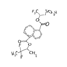 CC(OC(=O)c1cccc2c(C(=O)OC(CS(=O)(=O)O)C(F)(F)F)cccc12)C(C)(F)F